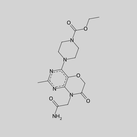 CCOC(=O)N1CCN(c2nc(C)nc3c2OCC(=O)N3CC(N)=O)CC1